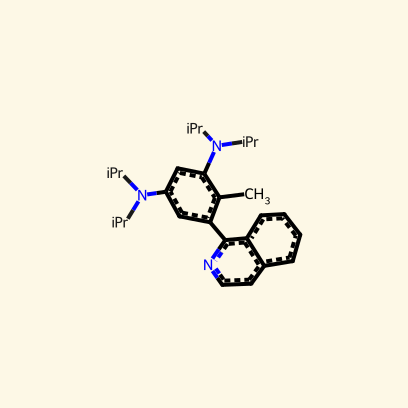 Cc1c(-c2nccc3ccccc23)cc(N(C(C)C)C(C)C)cc1N(C(C)C)C(C)C